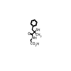 CC(S)(Cc1ccccc1)C(=O)NCC(=O)O